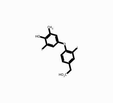 Cc1cc(Oc2ccc(CC(=O)O)cc2I)cc(I)c1O